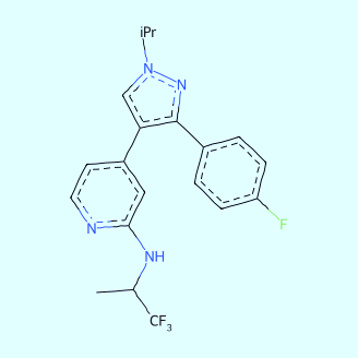 CC(C)n1cc(-c2ccnc(NC(C)C(F)(F)F)c2)c(-c2ccc(F)cc2)n1